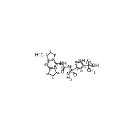 C[C@@H]1CCc2c1nc1c(c2NC(=O)N=[S@@](N)(=O)c2cc(C(C)(C)O)cs2)CCC1